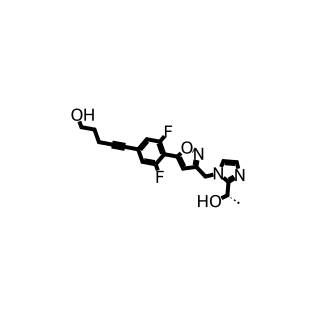 C[C@H](O)c1nccn1Cc1cc(-c2c(F)cc(C#CCCCO)cc2F)on1